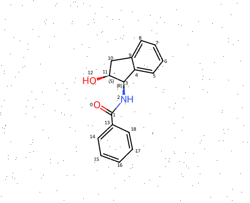 O=C(N[C@@H]1c2ccccc2C[C@@H]1O)c1ccccc1